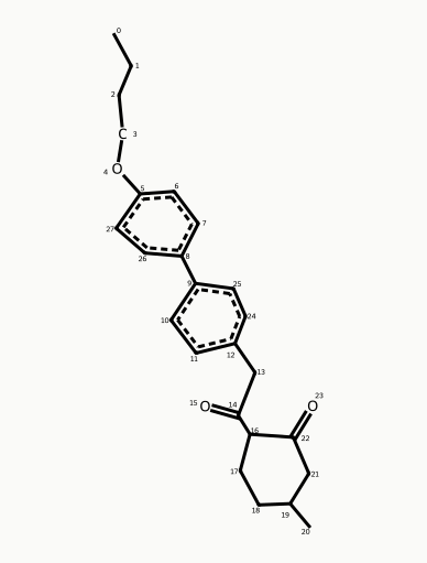 CCCCOc1ccc(-c2ccc(CC(=O)C3CCC(C)CC3=O)cc2)cc1